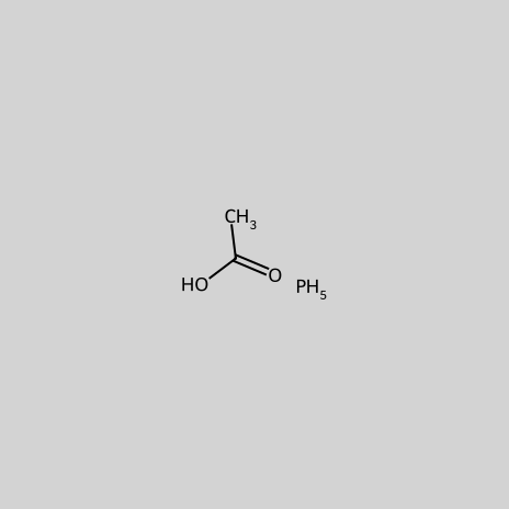 CC(=O)O.[PH5]